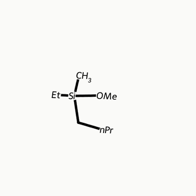 CCCC[Si](C)(CC)OC